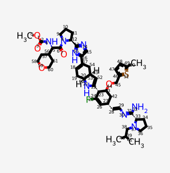 COC(=O)N[C@H](C(=O)N1CCC[C@H]1c1ncc(C2=CC[C@@H]3NC([C@H]4C(F)=C[C@@H](/C=C/N=C(\N)[C@@H]5CCCN5CC(C)C)CC4OCc4ccc(C)s4)=C[C@@H]3C2)[nH]1)C1CCOCC1